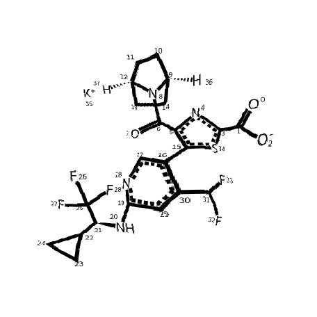 O=C([O-])c1nc(C(=O)N2[C@H]3CC[C@@H]2CC3)c(-c2cnc(N[C@@H](C3CC3)C(F)(F)F)cc2C(F)F)s1.[K+]